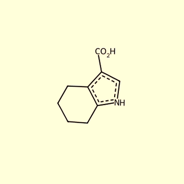 O=C(O)c1c[nH]c2c1CCCC2